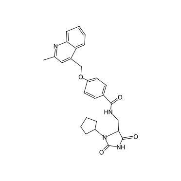 Cc1cc(COc2ccc(C(=O)NCC3C(=O)NC(=O)N3C3CCCC3)cc2)c2ccccc2n1